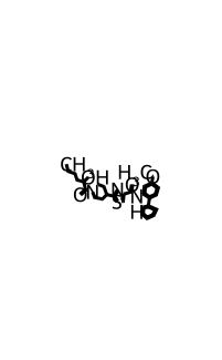 CCCCC(O)C(=O)N1CCC(c2nc(C(=O)Nc3cc(OC)ccc3-c3ccccc3)cs2)CC1